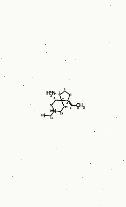 C/C=C1\CC[C@@H](N)C12CCN(CI)CC2